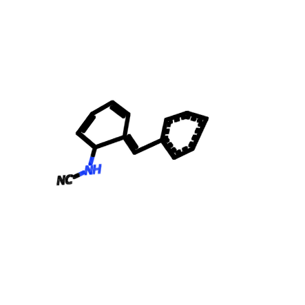 N#CNC1C=CC=CC1=Cc1ccccc1